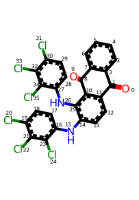 O=C1c2ccccc2C(=O)c2c1ccc(Nc1ccc(Cl)c(Cl)c1Cl)c2Nc1ccc(Cl)c(Cl)c1Cl